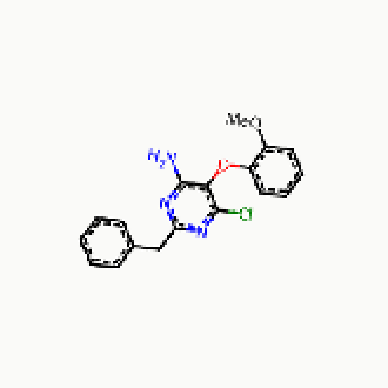 COc1ccccc1Oc1c(N)nc(Cc2ccccc2)nc1Cl